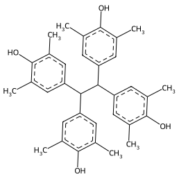 Cc1cc(C(c2cc(C)c(O)c(C)c2)C(c2cc(C)c(O)c(C)c2)c2cc(C)c(O)c(C)c2)cc(C)c1O